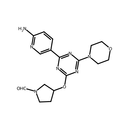 Nc1ccc(-c2nc(OC3CCN(C=O)C3)nc(N3CCOCC3)n2)cn1